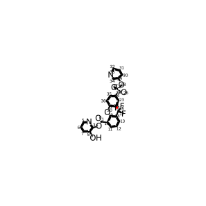 O=C(Oc1ncccc1O)c1cccc(C(F)(F)F)c1Oc1ccc(S(=O)(=O)Oc2cccnc2)cc1